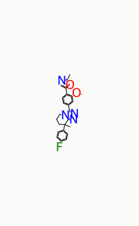 COc1cc(-c2nnc3n2CCCC3(C)c2ccc(F)cc2)ccc1-c1cnc(C)o1